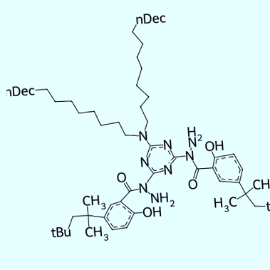 CCCCCCCCCCCCCCCCCCN(CCCCCCCCCCCCCCCCCC)c1nc(N(N)C(=O)c2cc(C(C)(C)CC(C)(C)C)ccc2O)nc(N(N)C(=O)c2cc(C(C)(C)CC(C)(C)C)ccc2O)n1